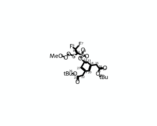 COOOSC(=C(F)F)S(=O)(=O)Oc1cc(CC(=O)OC(C)(C)C)cc(CC(=O)OC(C)(C)C)c1